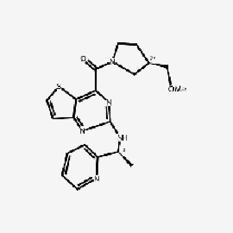 COC[C@@H]1CCN(C(=O)c2nc(N[C@@H](C)c3ccccn3)nc3ccsc23)C1